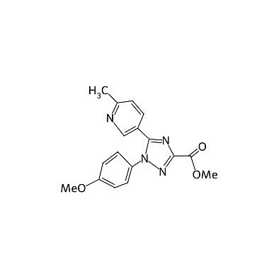 COC(=O)c1nc(-c2ccc(C)nc2)n(-c2ccc(OC)cc2)n1